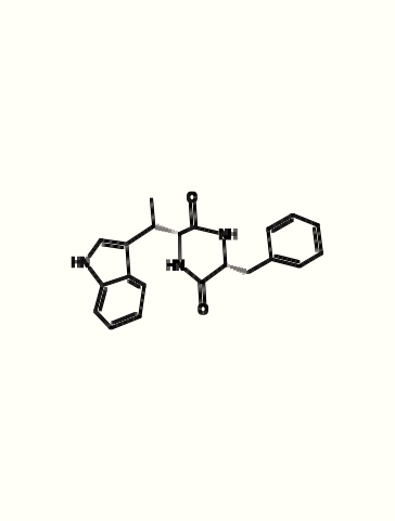 CC(c1c[nH]c2ccccc12)[C@H]1NC(=O)[C@@H](Cc2ccccc2)NC1=O